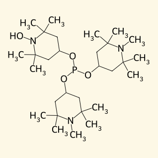 CN1C(C)(C)CC(OP(OC2CC(C)(C)N(C)C(C)(C)C2)OC2CC(C)(C)N(O)C(C)(C)C2)CC1(C)C